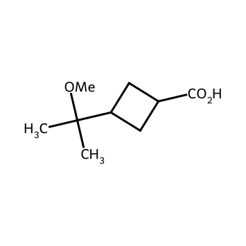 COC(C)(C)C1CC(C(=O)O)C1